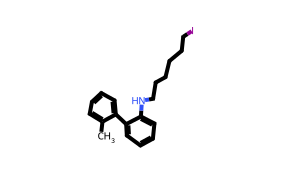 Cc1ccccc1-c1ccccc1NCCCCCCI